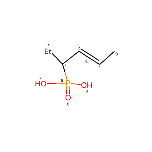 C/C=C/C(CC)P(=O)(O)O